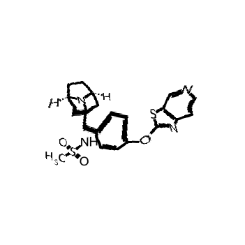 CS(=O)(=O)N[C@@H]1C[C@H]2CC[C@@H](C1)N2Cc1ccc(Oc2nc3ccncc3s2)cc1